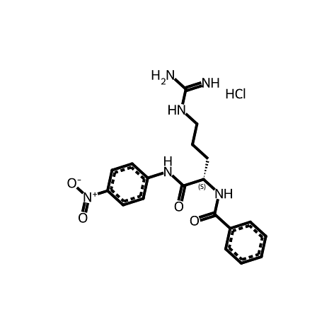 Cl.N=C(N)NCCC[C@H](NC(=O)c1ccccc1)C(=O)Nc1ccc([N+](=O)[O-])cc1